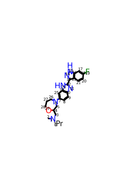 CC(C)N(C)CC1CN(c2ccc3nc(-c4n[nH]c5cc(F)ccc45)[nH]c3c2)CCCO1